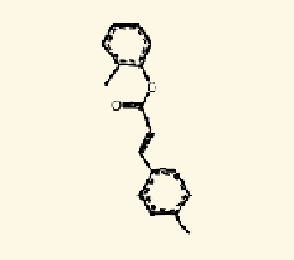 Cc1ccc(C=CC(=O)Oc2ccccc2C)cc1